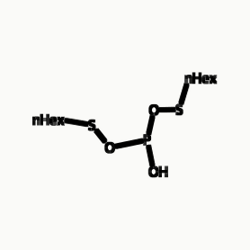 CCCCCCSOP(O)OSCCCCCC